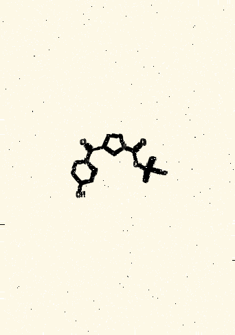 CC(C)(C)OC(=O)N1CC[C@H](C(=O)N2CCC(O)CC2)C1